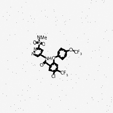 CNS(=O)(=O)c1cc(NC(=O)c2cc(Cl)c(C(F)(F)F)cc2Oc2ccc(OC(F)(F)F)cc2)cnn1